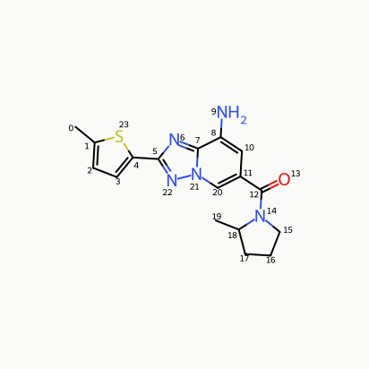 Cc1ccc(-c2nc3c(N)cc(C(=O)N4CCCC4C)cn3n2)s1